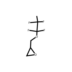 CC(F)(F)C(F)(F)OCC1CO1